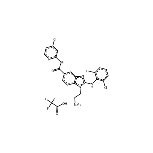 CNCCn1c(Nc2c(Cl)cccc2Cl)nc2cc(C(=O)Nc3cc(Cl)ccn3)ccc21.O=C(O)C(F)(F)F